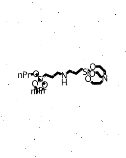 CCCO[Si](CCCNCCC[Si]12OCCN(CCO1)CCO2)(OCCC)OCCC